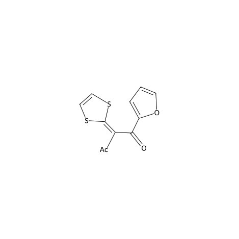 CC(=O)C(C(=O)c1ccco1)=C1SC=CS1